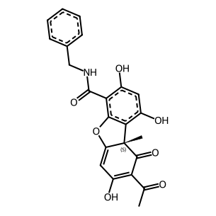 CC(=O)C1=C(O)C=C2Oc3c(C(=O)NCc4ccccc4)c(O)cc(O)c3[C@]2(C)C1=O